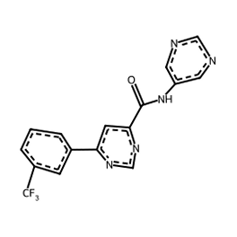 O=C(Nc1cncnc1)c1cc(-c2cccc(C(F)(F)F)c2)ncn1